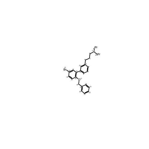 CC(C)N(CCCc1cccc(-c2cc(Br)ccc2OCc2ccccc2)c1)C(C)C